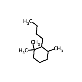 CCCCC1C(C)CCCC1(C)C